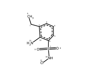 CCc1cccc(S(=O)(=O)NCl)c1N